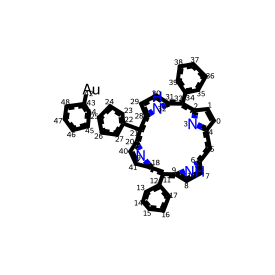 C1=Cc2nc1cc1ccc([nH]1)c(-c1ccccc1)c1nc(c(-c3ccccc3)c3ccc([nH]3)c2-c2ccccc2)C=C1.[Au][c]1ccccc1